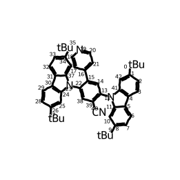 CC(C)(C)c1ccc2c3ccc(C(C)(C)C)cc3n(-c3cc(-c4ccncc4)c(-n4c5cc(C(C)(C)C)ccc5c5ccc(C(C)(C)C)cc54)cc3C#N)c2c1